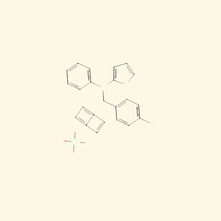 O=[N+]([O-])c1ccc(C[S+](c2ccccc2)c2cccs2)cc1.[O-][Cl+3]([O-])([O-])[O-].c1cc2ccc1-2